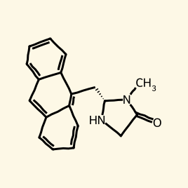 CN1C(=O)CN[C@@H]1Cc1c2ccccc2cc2ccccc12